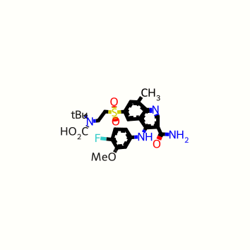 COc1cc(Nc2c(C(N)=O)cnc3c(C)cc(S(=O)(=O)CCN(C(=O)O)C(C)(C)C)cc23)ccc1F